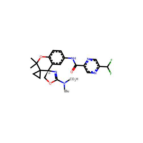 CC(C)(C)N(C(=O)O)C1=N[C@@]2(CO1)c1cc(NC(=O)c3cnc(C(F)F)cn3)ccc1OC(C)(C)C21CC1